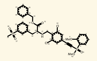 COc1ccccc1P(=O)(C#Cc1cc(Cl)c(CN[C@@H](Cc2cccc(S(C)(=O)=O)c2)C(=O)OCc2ccccc2)c(Cl)c1)OC